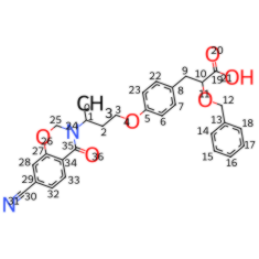 CC(CCOc1ccc(CC(OCc2ccccc2)C(=O)O)cc1)N1COc2cc(C#N)ccc2C1=O